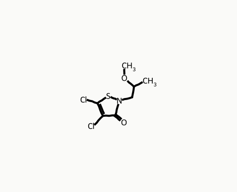 COC(C)Cn1sc(Cl)c(Cl)c1=O